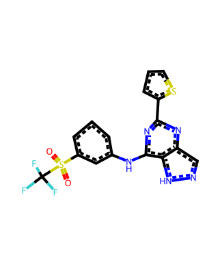 O=S(=O)(c1cccc(Nc2nc(-c3cccs3)nc3cn[nH]c23)c1)C(F)(F)F